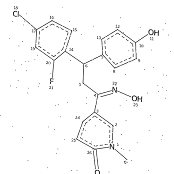 Cn1cc(C(CC(c2ccc(O)cc2)c2ccc(Cl)cc2F)=NO)ccc1=O